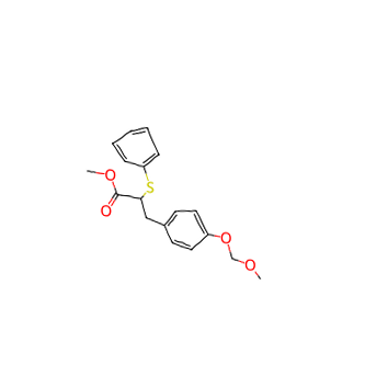 COCOc1ccc(CC(Sc2ccccc2)C(=O)OC)cc1